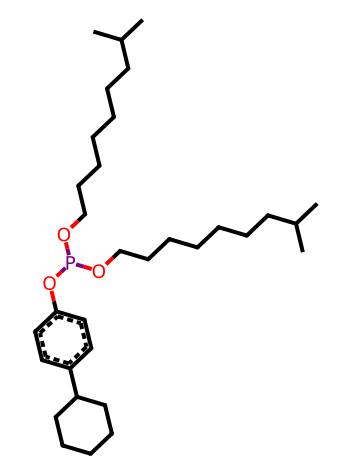 CC(C)CCCCCCCOP(OCCCCCCCC(C)C)Oc1ccc(C2CCCCC2)cc1